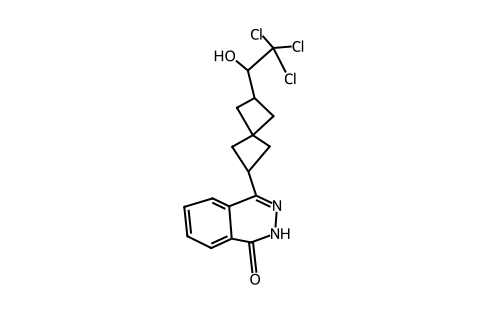 O=c1[nH]nc(C2CC3(C2)CC(C(O)C(Cl)(Cl)Cl)C3)c2ccccc12